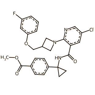 COC(=O)c1ccc(C2(NC(=O)c3cc(Cl)cnc3N3CC(COc4cccc(F)c4)C3)CC2)cc1